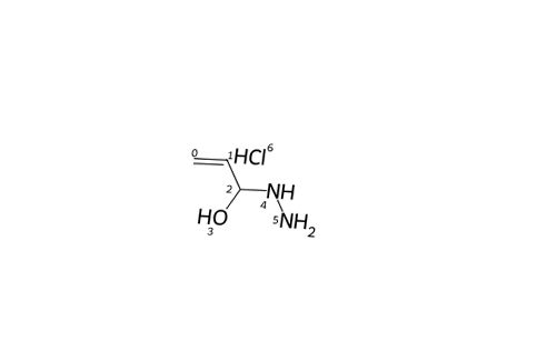 C=CC(O)NN.Cl